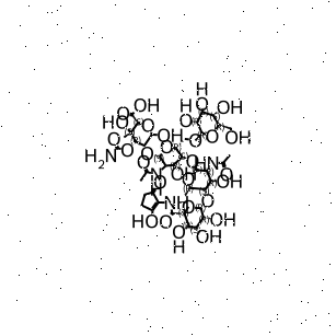 CC(=O)NC1[C@H](OC2C(O)O[C@H](C(=O)O)[C@@](C)(O)[C@@H]2OC(N)=O)O[C@H](CO[C@@H]2O[C@H](CO)[C@@H](O)[C@H](O)[C@H]2O)[C@@H](O[C@@H]2O[C@H](C)[C@@H](O[C@@H]3O[C@H](C(=O)NC4=C(O)CCC4=O)[C@H](O)[C@H](O)[C@H]3O)[C@H](O)[C@H]2NC(C)=O)[C@@H]1O